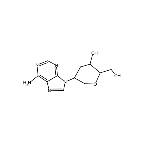 Nc1ncnc2c1ncn2C1COC(CO)C(O)C1